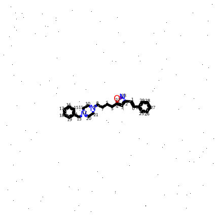 C(=Cc1cc(CCCCN2CCN(Cc3ccccc3)CC2)on1)c1ccccc1